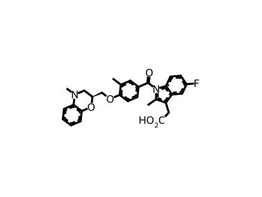 Cc1cc(C(=O)n2c(C)c(CC(=O)O)c3cc(F)ccc32)ccc1OC[C@@H]1CN(C)c2ccccc2O1